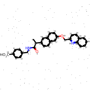 CC(C(=O)NCc1ccc(C(=O)O)cc1)c1ccc2cc(OCc3ccc4ccccc4n3)ccc2c1